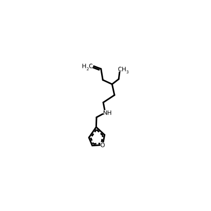 C=CCC(CC)CCNCc1ccoc1